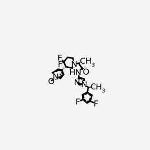 C[C@@H](C(=O)Nc1cn([C@@H](C)c2cc(F)cc(F)c2)cn1)N1CCC(F)(F)[C@@H](c2cc[n+]([O-])cc2)C1